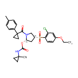 Cc1ccc(C2(C(=O)N3C[C@H](S(=O)(=O)c4ccc(OCC(F)(F)F)cc4Cl)C[C@@H]3OC(=O)NC3(C#N)CC3)CC2)cc1